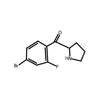 O=C(c1ccc(Br)cc1F)C1CCCN1